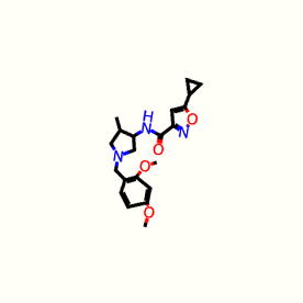 COc1ccc(CN2CC(C)C(NC(=O)c3cc(C4CC4)on3)C2)c(OC)c1